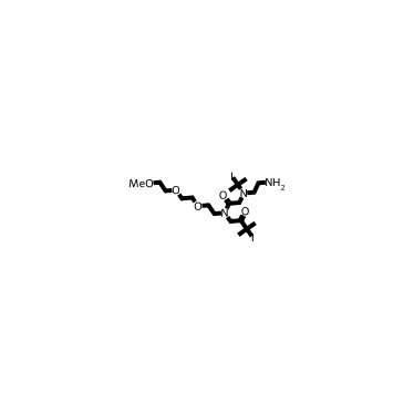 COCCOCCOCCN(CC(=O)C(C)(C)I)C(=O)CN(CCN)C(C)(C)I